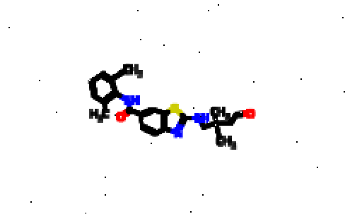 Cc1cccc(C)c1NC(=O)c1ccc2nc(NCC(C)(C)CC=O)sc2c1